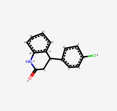 O=C1CC(c2ccc(Cl)cc2)c2ccccc2N1